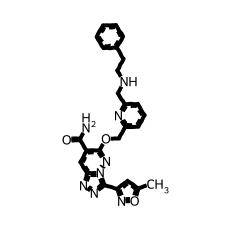 Cc1cc(-c2nnc3cc(C(N)=O)c(OCc4cccc(CNCCc5ccccc5)n4)nn23)no1